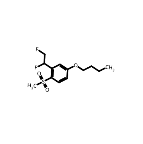 CCCCOc1ccc(S(C)(=O)=O)c(C(F)CF)c1